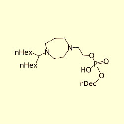 CCCCCCCCCCOP(=O)(O)OCCN1CCCN(C(CCCCCC)CCCCCC)CC1